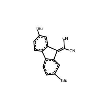 CC(C)(C)c1ccc2c(c1)C(=C(C#N)C#N)c1cc(C(C)(C)C)ccc1-2